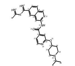 CC(=N)SC(=N)c1ccc2cnc(NC(=O)c3ccnc(OC4CCN(C(C)C)CC4)c3)cc2c1